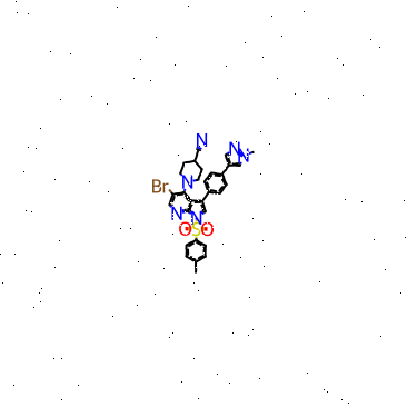 Cc1ccc(S(=O)(=O)n2cc(-c3ccc(-c4cnn(C)c4)cc3)c3c(N4CCC(C#N)CC4)c(Br)cnc32)cc1